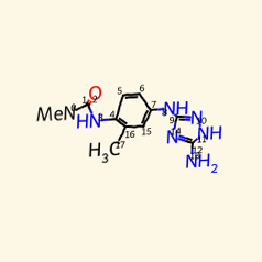 CNC(=O)Nc1ccc(Nc2n[nH]c(N)n2)cc1C